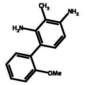 COc1ccccc1-c1ccc(N)c(C)c1N